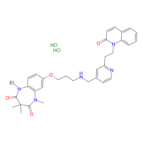 CCN1C(=O)C(C)(C)C(=O)N(C)c2cc(OCCCNCc3ccnc(CCn4c(=O)ccc5ccccc54)c3)ccc21.Cl.Cl